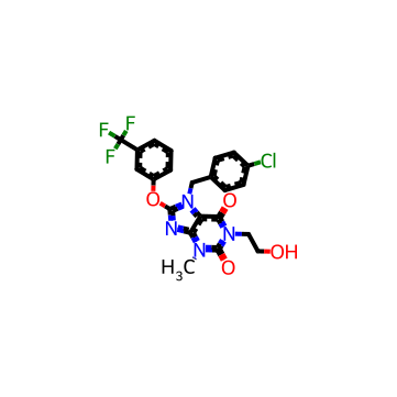 Cn1c(=O)n(CCO)c(=O)c2c1nc(Oc1cccc(C(F)(F)F)c1)n2Cc1ccc(Cl)cc1